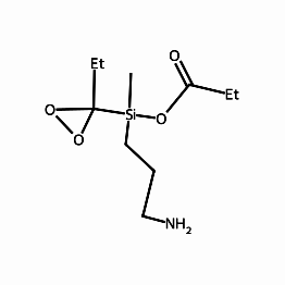 CCC(=O)O[Si](C)(CCCN)C1(CC)OO1